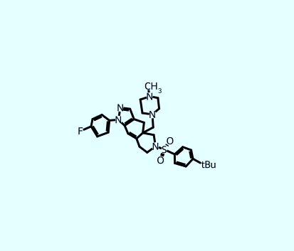 CN1CCN(CC23Cc4cnn(-c5ccc(F)cc5)c4C=C2CCN(S(=O)(=O)c2ccc(C(C)(C)C)cc2)C3)CC1